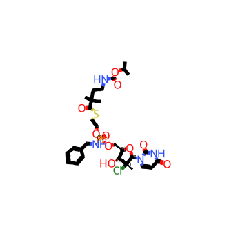 CC(C)OC(=O)NCCC(C)(C)C(=O)SCCO[P@](=O)(NCc1ccccc1)OC[C@H]1O[C@@H](n2ccc(=O)[nH]c2=O)[C@](C)(Cl)[C@@H]1O